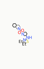 CCC1(CC)CSC(Nc2ccc(OC(=O)N3CCc4ccccc4C3)nc2)=N1